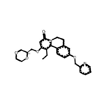 CCc1c(OC[C@@H]2COCCO2)cc(=O)n2c1-c1ccc(OCc3ccccn3)cc1CC2